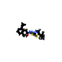 CC(C)c1cccc(C2CC2)c1CC(=O)NSc1ncc(C(C)(C)N=O)s1